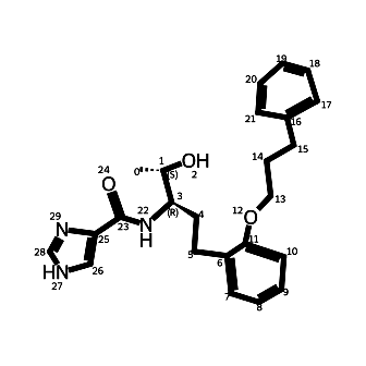 C[C@H](O)[C@@H](CCc1ccccc1OCCCc1ccccc1)NC(=O)c1c[nH]cn1